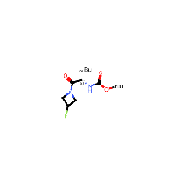 CC[C@H](C)[C@H](NC(=O)OC(C)(C)C)C(=O)N1CC(F)C1